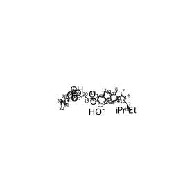 CC[C@H](CC[C@@H](C)[C@H]1CCC2C3CC=C4C[C@@H](OC(=O)CCCOP(=O)(O)OCC[N+](C)(C)C)CC[C@]4(C)C3CC[C@@]21C)C(C)C.[OH-]